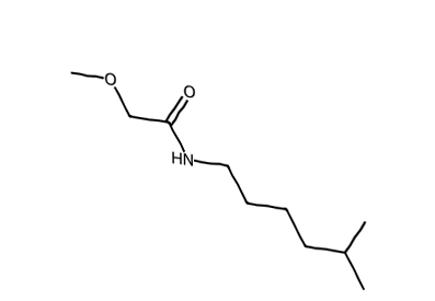 COCC(=O)NCCCCC(C)C